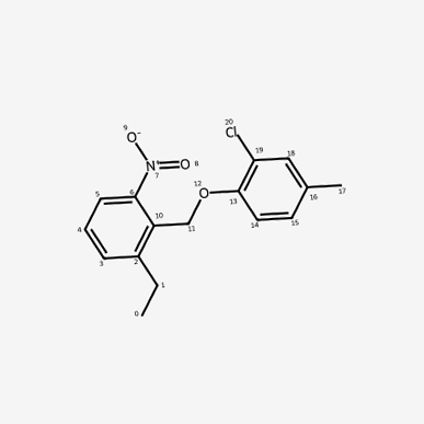 CCc1cccc([N+](=O)[O-])c1COc1ccc(C)cc1Cl